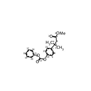 COC(=O)CC(C)(C)c1ccc(OC(=O)Oc2ccccc2)cc1